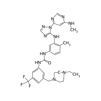 CCN1CCN(Cc2cc(NC(=O)Nc3ccc(C)c(Nc4ncnn4-c4cc(NC)ncn4)c3)cc(C(F)(F)F)c2)CC1